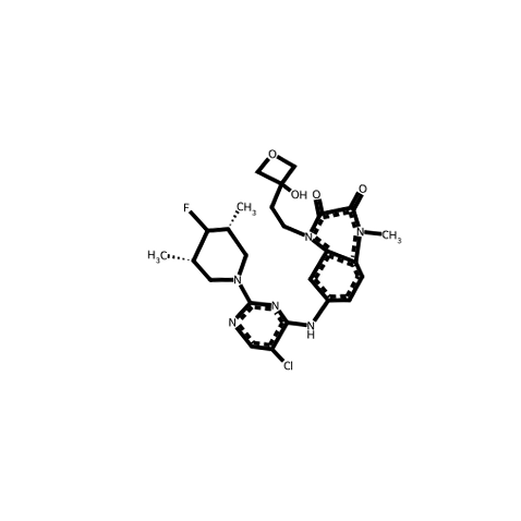 C[C@@H]1CN(c2ncc(Cl)c(Nc3ccc4c(c3)n(CCC3(O)COC3)c(=O)c(=O)n4C)n2)C[C@H](C)C1F